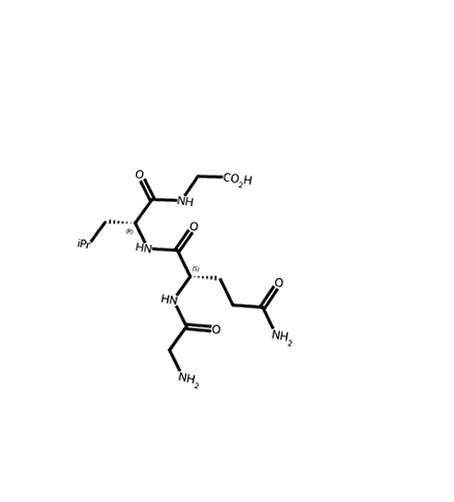 CC(C)C[C@@H](NC(=O)[C@H](CCC(N)=O)NC(=O)CN)C(=O)NCC(=O)O